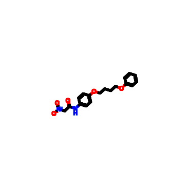 O=C(C[N+](=O)[O-])Nc1ccc(OCCCCOc2ccccc2)cc1